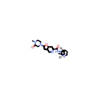 C[C@H]1[C@H](NC(=O)c2cc3oc(N4CCN(C)C(=O)C4)cc3cn2)C2CCN1CC2